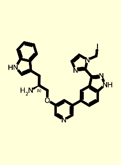 N[C@H](COc1cncc(-c2ccc3[nH]nc(-c4nccn4CI)c3c2)c1)Cc1c[nH]c2ccccc12